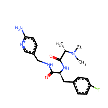 CCN(C)[C@@H](C)C(=O)N[C@@H](Cc1ccc(F)cc1)C(=O)NCc1ccc(N)nc1